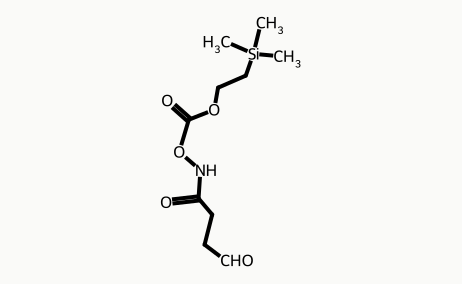 C[Si](C)(C)CCOC(=O)ONC(=O)CCC=O